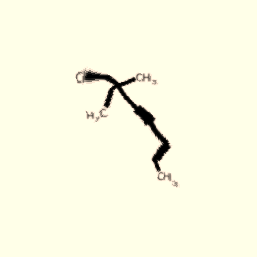 CC=CC#CC(C)(C)CCl